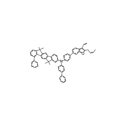 C=Cc1c(C/C=C\C)oc2cc(-c3ccc(N(c4ccc(-c5ccccc5)cc4)c4ccc5c(c4)C(C)(C)c4cc6c(cc4-5)C(C)(C)c4cccc(-c5ccccc5)c4-6)cc3)ccc12